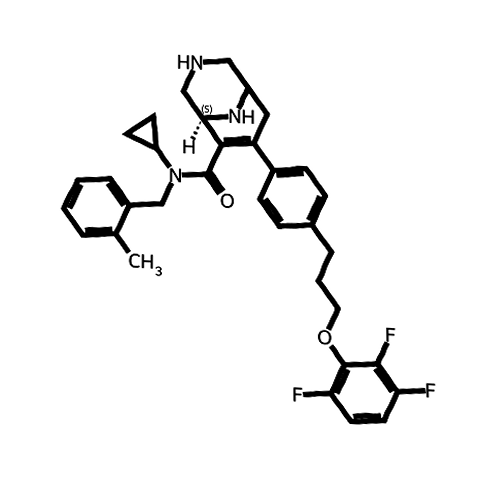 Cc1ccccc1CN(C(=O)C1=C(c2ccc(CCCOc3c(F)ccc(F)c3F)cc2)CC2CNC[C@H]1N2)C1CC1